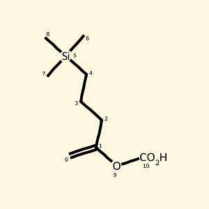 C=C(CCC[Si](C)(C)C)OC(=O)O